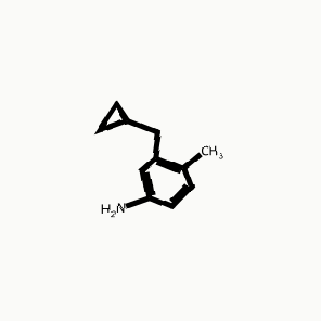 Cc1ccc(N)cc1CC1CC1